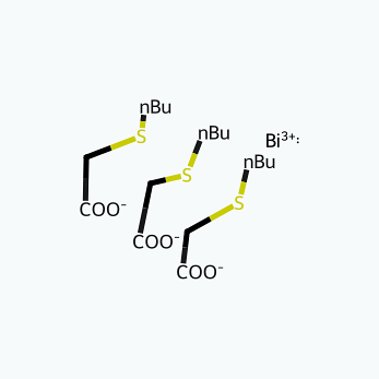 CCCCSCC(=O)[O-].CCCCSCC(=O)[O-].CCCCSCC(=O)[O-].[Bi+3]